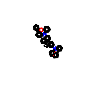 C[Si]1(C)c2cc(N(c3ccccc3)c3ccccc3-c3ccccc3)ccc2-c2ccc(N(c3ccccc3)c3cccc4c3oc3ccccc34)c3cccc1c23